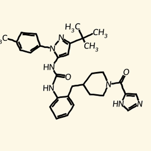 Cc1ccc(-n2nc(C(C)(C)C)cc2NC(=O)Nc2ccccc2CC2CCN(C(=O)c3cnc[nH]3)CC2)cc1